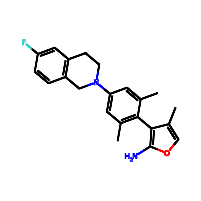 Cc1cc(N2CCc3cc(F)ccc3C2)cc(C)c1-c1c(C)coc1N